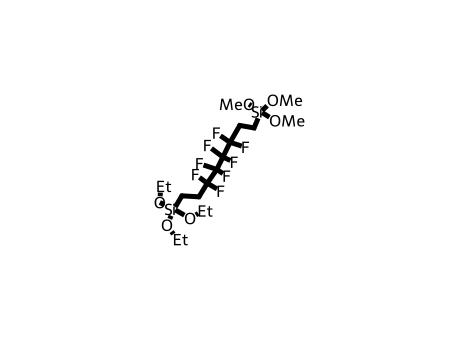 CCO[Si](CCC(F)(F)C(F)(F)C(F)(F)C(F)(F)CC[Si](OC)(OC)OC)(OCC)OCC